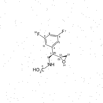 O=C(O)NC[C@@H](c1cc(F)cc(F)c1)[C@H]1CO1